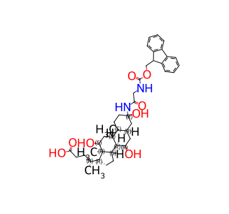 C[C@H](CCC(=O)O)[C@H]1CC[C@H]2[C@@H]3[C@H](O)C[C@@H]4C[C@@](O)(NC(=O)CNC(=O)OCC5c6ccccc6-c6ccccc65)CC[C@]4(C)[C@H]3C[C@H](O)[C@]12C